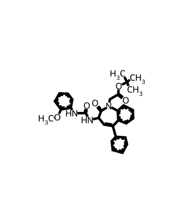 COc1ccccc1NC(=O)NC1C=C(c2ccccc2)c2ccccc2N(CC(=O)OC(C)(C)C)C1=O